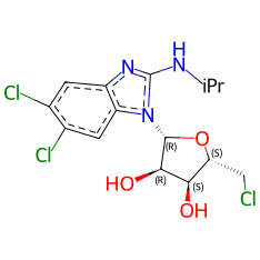 CC(C)Nc1nc2cc(Cl)c(Cl)cc2n1[C@@H]1O[C@H](CCl)[C@@H](O)[C@H]1O